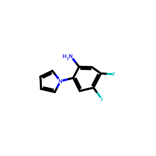 Nc1cc(F)c(F)cc1-n1cccc1